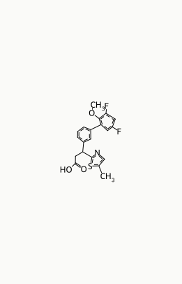 COc1c(F)cc(F)cc1-c1cccc(C(CC(=O)O)c2ncc(C)s2)c1